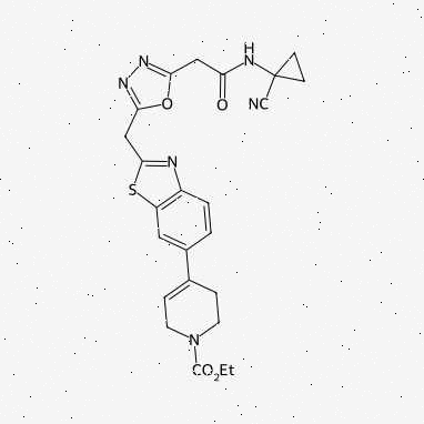 CCOC(=O)N1CC=C(c2ccc3nc(Cc4nnc(CC(=O)NC5(C#N)CC5)o4)sc3c2)CC1